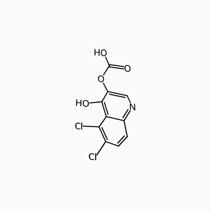 O=C(O)Oc1cnc2ccc(Cl)c(Cl)c2c1O